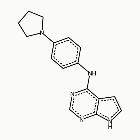 c1nc(Nc2ccc(N3CCCC3)cc2)c2cc[nH]c2n1